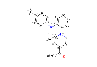 COC(=O)[C@@H]1CCN2c3ccccc3N(c3ccc(C(F)(F)F)cc3)C[C@@H]2C1